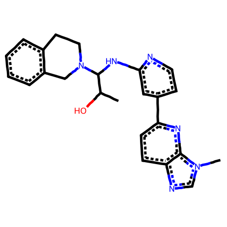 CC(O)C(Nc1cc(-c2ccc3ncn(C)c3n2)ccn1)N1CCc2ccccc2C1